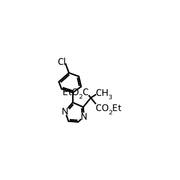 CCOC(=O)C(C)(C(=O)OCC)c1nccnc1-c1ccc(Cl)cc1